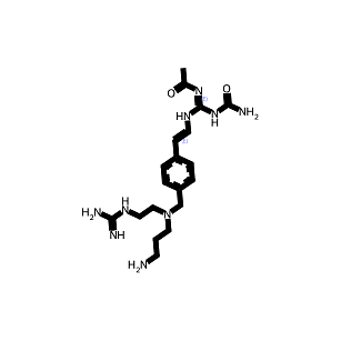 CC(=O)/N=C(\N/C=C/c1ccc(CN(CCCN)CCNC(=N)N)cc1)NC(N)=O